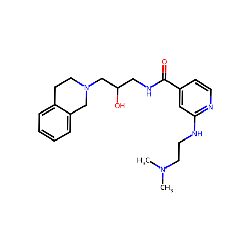 CN(C)CCNc1cc(C(=O)NCC(O)CN2CCc3ccccc3C2)ccn1